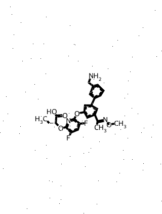 CC[C@@H](Oc1nc(Oc2cc(/C(C)=N/OC)cc(-c3cccc(CN)c3)c2)c(F)cc1F)C(=O)O